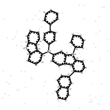 c1ccc(-c2ccc(N(c3ccc4c5c(-c6ccc7ccccc7c6)cccc5n(-c5ccccc5)c4c3)c3cccc4sc5ccccc5c34)cc2)cc1